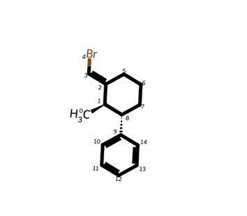 C[C@H]1/C(=C/Br)CCC[C@@H]1c1ccccc1